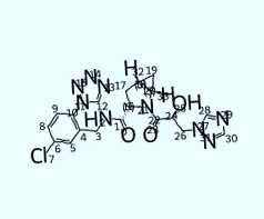 O=C(NCc1cc(Cl)ccc1-n1cnnn1)[C@@H]1C[C@@H]2C[C@@H]2N1C(=O)C(O)Cn1cncn1